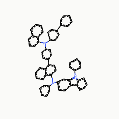 c1ccc(-c2ccc(N(c3ccc(-c4ccc(N(c5ccccc5)c5ccc6c7ccccc7n(-c7ccccc7)c6c5)c5ccccc45)cc3)c3cccc4ccccc34)cc2)cc1